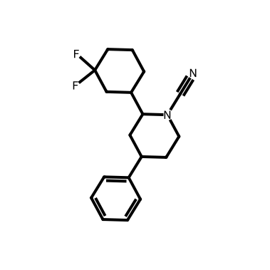 N#CN1CCC(c2ccccc2)CC1C1CCCC(F)(F)C1